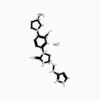 Cl.N[C@@H]1CCN(c2ccc(N3C[C@H](COc4ccon4)OC3=O)cc2F)C1